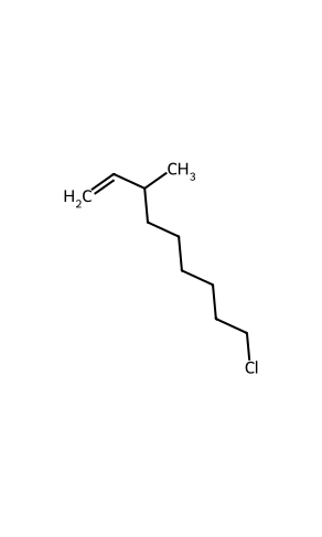 C=CC(C)CCCCCCCl